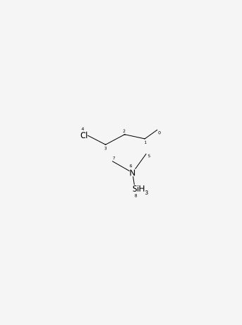 CCCCCl.CN(C)[SiH3]